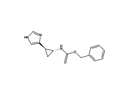 O=C(N[C@@H]1C[C@H]1c1c[nH]cn1)OCc1ccccc1